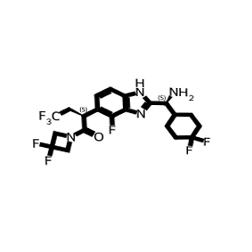 N[C@H](c1nc2c(F)c([C@H](CC(F)(F)F)C(=O)N3CC(F)(F)C3)ccc2[nH]1)C1CCC(F)(F)CC1